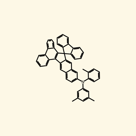 Cc1cc(C)cc(N(c2ccc3cc4c(cc3c2)C2(c3ccccc3-c3ccccc32)c2c-4c3ccccc3c3ccccc23)c2ccccc2C)c1